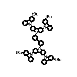 CC(C)(C)c1ccc2c(c1)c1ccccc1n2-c1ccc2c(c1)c1cc(-n3c4ccccc4c4cc(C(C)(C)C)ccc43)ccc1n2-c1cccc(-c2cccc(-n3c4ccc(-n5c6ccccc6c6cc(C(C)(C)C)ccc65)cc4c4cc(-n5c6ccccc6c6cc(C(C)(C)C)ccc65)ccc43)c2)c1